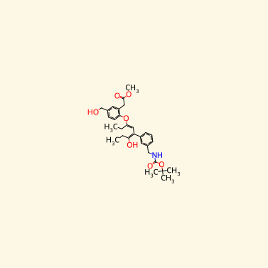 CC/C(O)=C(\C=C(/CC)Oc1ccc(CO)cc1CC(=O)OC)c1cccc(CNC(=O)OC(C)(C)C)c1